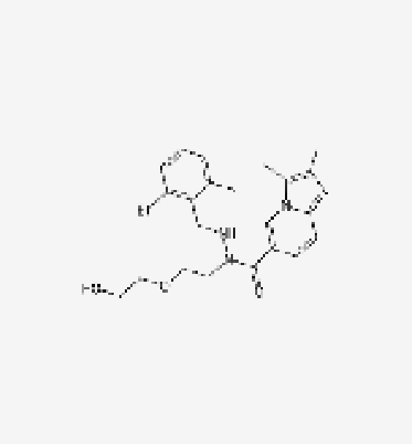 CCc1cccc(C)c1CNN(CCOCCO)C(=O)c1ccc2nc(C)c(C)n2c1